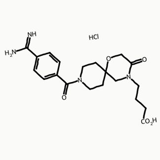 Cl.N=C(N)c1ccc(C(=O)N2CCC3(CC2)CN(CCCC(=O)O)C(=O)CO3)cc1